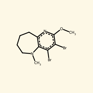 COc1nc2c(c(Br)c1Br)N(C)CCCC2